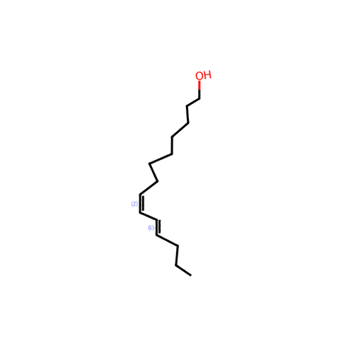 CCC/C=C/C=C\CCCCCCCO